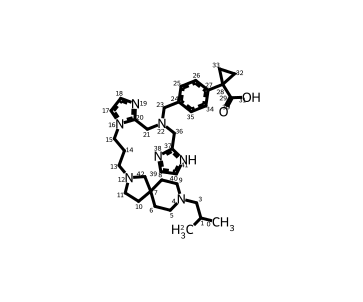 CC(C)CN1CCC2(CC1)CCN(CCCn1ccnc1CN(Cc1ccc(C3(C(=O)O)CC3)cc1)Cc1ncc[nH]1)C2